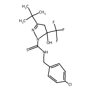 CC(C)(C)C1=NN(C(=S)NCc2ccc(Cl)cc2)C(O)(C(F)(F)F)C1